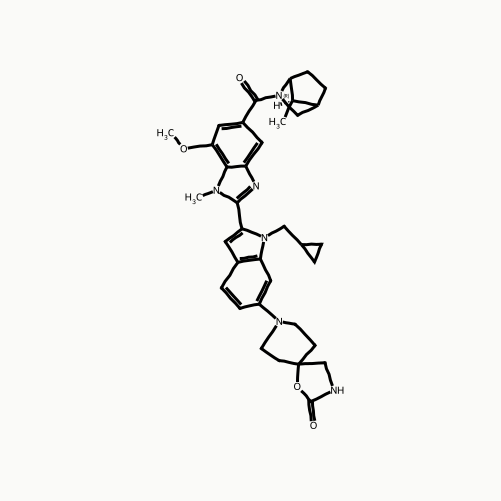 COc1cc(C(=O)N2CC3CCC2[C@@H]3C)cc2nc(-c3cc4ccc(N5CCC6(CC5)CNC(=O)O6)cc4n3CC3CC3)n(C)c12